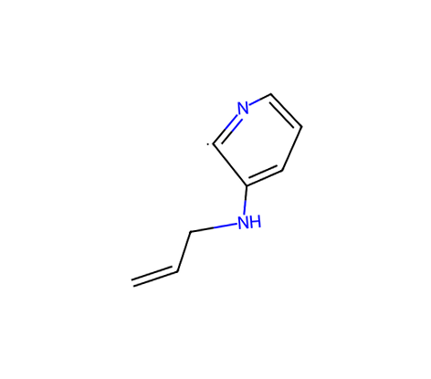 C=CCNc1[c]nccc1